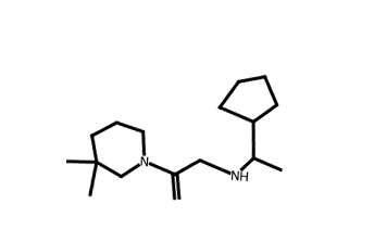 C=C(CNC(C)C1CCCC1)N1CCCC(C)(C)C1